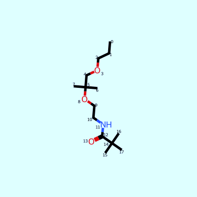 CCCOCC(C)(C)OCCNC(=O)C(C)(C)C